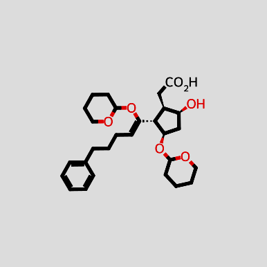 O=C(O)C[C@@H]1[C@@H](C(=CCCCc2ccccc2)OC2CCCCO2)[C@H](OC2CCCCO2)C[C@@H]1O